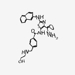 NC(=O)c1nc(Nc2ccc3ccccc3c2)sc1NC(=O)c1ccc(CNCCO)cc1